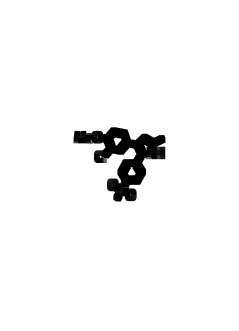 COc1ccc(-c2cc(C)[nH]c2-c2ccc(S(C)(=O)=O)cc2)cc1Cl